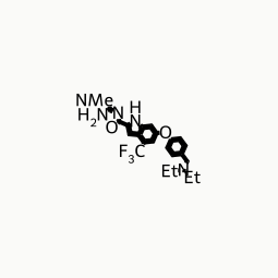 CCN(CC)Cc1ccc(Oc2cc(C(F)(F)F)c3cc(C(=O)N=C(N)NC)[nH]c3c2)cc1